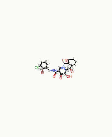 C[C@@]12CCCC[C@]1(O)Cn1cc(C(=O)NCc3cccc(Cl)c3Br)c(=O)c(O)c1C2=O